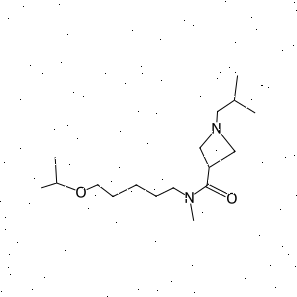 CC(C)CN1CC(C(=O)N(C)CCCCCOC(C)C)C1